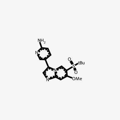 COc1cc2ncc(-c3ccc(N)nc3)n2cc1S(=O)(=O)C(C)(C)C